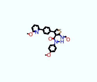 COc1ccc(N(C)C(=O)c2c(-c3ccc(-c4cccc(OC)n4)cc3)csc2NC=O)cc1